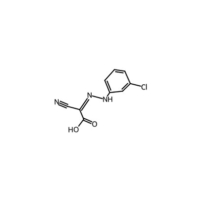 N#CC(=NNc1cccc(Cl)c1)C(=O)O